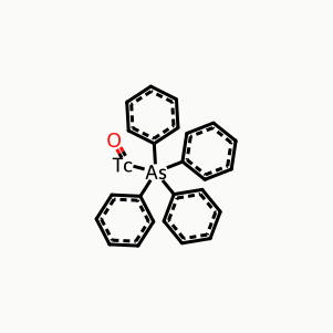 [O]=[Tc][As](c1ccccc1)(c1ccccc1)(c1ccccc1)c1ccccc1